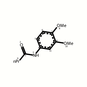 CCCC(=O)Nc1ccc(OC)c(OC)c1